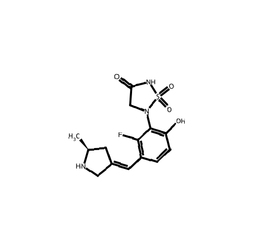 C[C@H]1C/C(=C\c2ccc(O)c(N3CC(=O)NS3(=O)=O)c2F)CN1